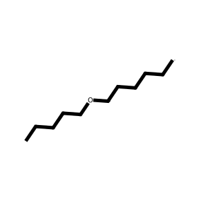 [CH2]CCCC[CH]OCCCCC